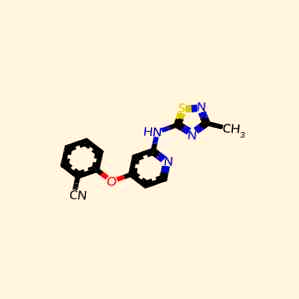 Cc1nsc(Nc2cc(Oc3ccccc3C#N)ccn2)n1